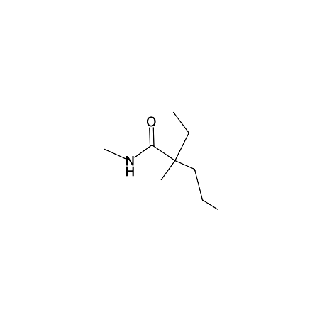 CCCC(C)(CC)C(=O)NC